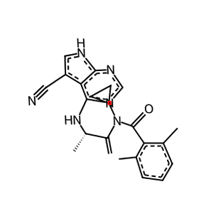 C=C([C@H](C)Nc1ncnc2[nH]cc(C#N)c12)N(C(=O)c1c(C)cccc1C)C1CC1